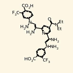 CCN(CC)C(=O)c1cc(/C(N)=C/N(N)c2ccc(C(=O)O)c(C(F)(F)F)c2)nc(/C(N)=C/N(N)c2ccc(C(=O)O)c(C(F)(F)F)c2)c1